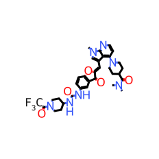 CN(C)C(=O)C1CCN(c2ccnc3c2c(/C=C2\Oc4ccc(NC(=O)NC5CCN(C(=O)C(F)(F)F)CC5)cc4C2=O)cn3C)CC1